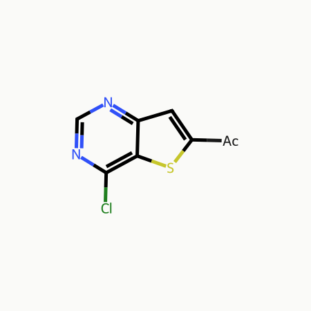 CC(=O)c1cc2ncnc(Cl)c2s1